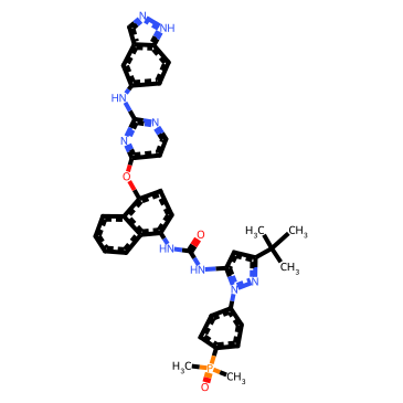 CC(C)(C)c1cc(NC(=O)Nc2ccc(Oc3ccnc(Nc4ccc5[nH]ncc5c4)n3)c3ccccc23)n(-c2ccc(P(C)(C)=O)cc2)n1